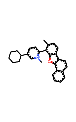 Cc1ccc2c(oc3c4ccccc4ccc23)c1-c1ccc(C2CCCCC2)c[n+]1C